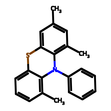 Cc1cc(C)c2c(c1)Sc1cccc(C)c1N2c1ccccc1